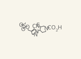 CS(=O)(=O)OCc1cnn(C2CCN(C(=O)O)CC2F)c1C#N